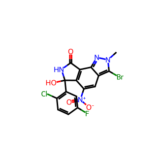 Cn1nc2c3c(c([N+](=O)[O-])cc2c1Br)C(O)(c1cc(F)ccc1Cl)NC3=O